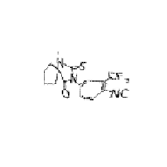 [C-]#[N+]c1ccc(N2C(=O)C3(CCCC3)N(C)C2=S)cc1C(F)(F)F